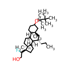 CCC[C@H]1C=C2CC(O[Si](C)(C)C(C)(C)C)CC[C@]2(C)[C@H]2CC[C@]3(C)C(=C(F)CO)CC[C@H]3[C@H]12